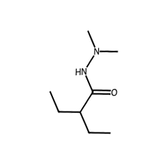 CCC(CC)C(=O)NN(C)C